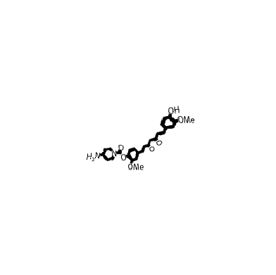 COc1cc(/C=C/C(=O)CC(=O)/C=C/c2ccc(OC(=O)N3CCC(N)CC3)c(OC)c2)ccc1O